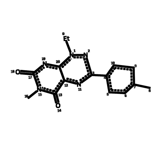 CCn1nc(-c2ccc(C)cc2)nc2c(=O)n(C)c(=O)nc1-2